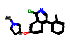 CC(=O)N1CC[C@@H](Oc2ccc3c(-c4ccccc4C)cnc(Cl)c3c2)C1